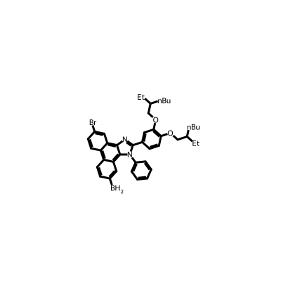 Bc1ccc2c3ccc(Br)cc3c3nc(-c4ccc(OCC(CC)CCCC)c(OCC(CC)CCCC)c4)n(-c4ccccc4)c3c2c1